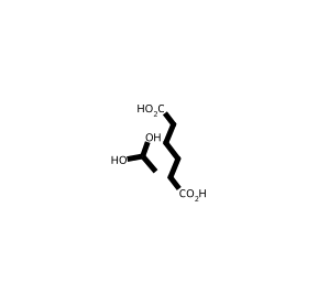 CC(O)O.O=C(O)CCCCC(=O)O